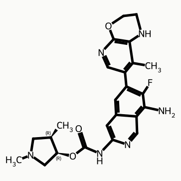 Cc1c(-c2cc3cc(NC(=O)O[C@H]4CN(C)C[C@H]4C)ncc3c(N)c2F)cnc2c1NCCO2